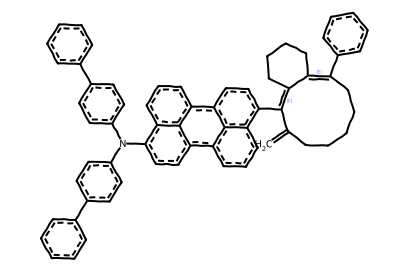 C=C1CCCCC/C(c2ccccc2)=C2/CCCC/C2=C/1c1ccc2c3cccc4c(N(c5ccc(-c6ccccc6)cc5)c5ccc(-c6ccccc6)cc5)ccc(c5cccc1c25)c43